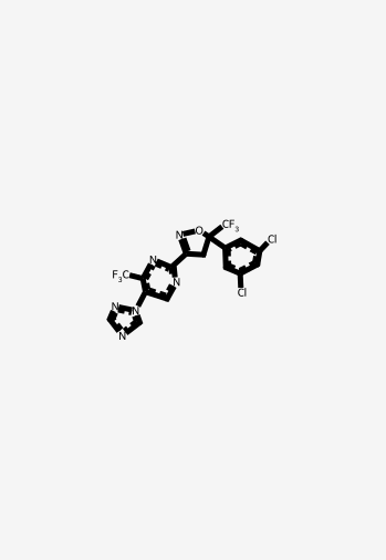 FC(F)(F)c1nc(C2=NOC(c3cc(Cl)cc(Cl)c3)(C(F)(F)F)C2)ncc1-n1cncn1